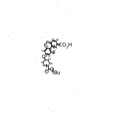 CC(C)(C)OC(=O)N1CCC(Oc2cc(F)c(-c3nc(C(=O)O)ccc3F)c(F)c2)CC1